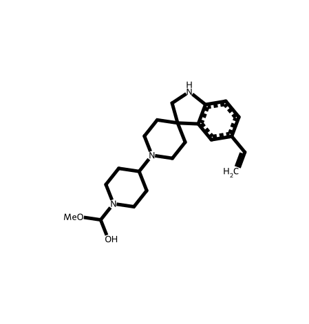 C=Cc1ccc2c(c1)C1(CCN(C3CCN(C(O)OC)CC3)CC1)CN2